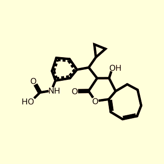 O=C(O)Nc1cccc(C(C2CC2)C2C(=O)OC3=CC=CCCCC3C2O)c1